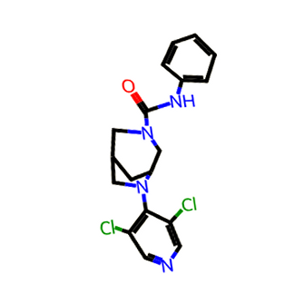 O=C(Nc1ccccc1)N1CC2CC(C1)N(c1c(Cl)cncc1Cl)C2